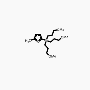 COCCC[Si](CCCOC)(CCCOC)c1ccc(C)s1